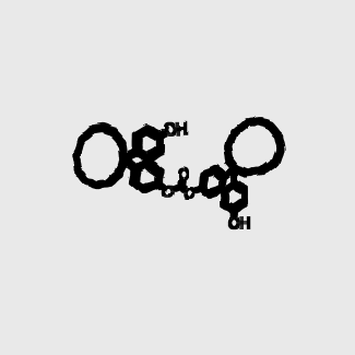 O=C(Oc1ccc(C2(c3ccc(O)cc3)CCCCCCCCCCC2)cc1)Oc1ccc(C2(c3ccc(O)cc3)CCCCCCCCCCC2)cc1